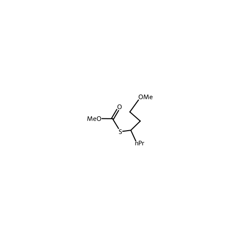 CCCC(CCOC)SC(=O)OC